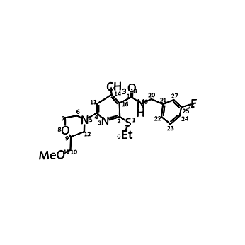 CCSc1nc(N2CCOC(COC)C2)cc(C)c1C(=O)NCc1cccc(F)c1